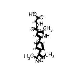 Cc1noc(C)c1-c1ccc(-c2cc(C(=O)NCC(=O)O)c(C)[nH]2)cc1